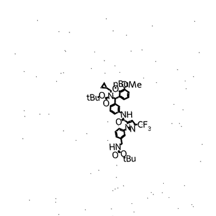 CCCCOc1c(OC)cccc1C(c1cccc(NC(=O)c2cc(C(F)(F)F)nn2-c2cccc(CNC(=O)OC(C)(C)C)c2)c1)N(CC1CC1)C(=O)OC(C)(C)C